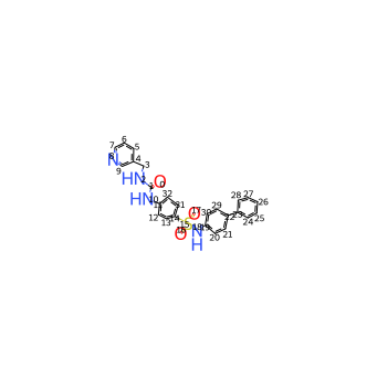 O=C(NCc1cccnc1)Nc1ccc(S(=O)(=O)Nc2ccc(-c3ccccc3)cc2)cc1